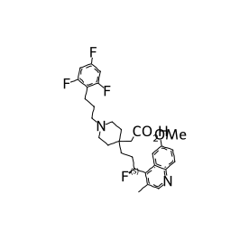 COc1ccc2ncc(C)c([C@@H](F)CCC3(CC(=O)O)CCN(CCCc4c(F)cc(F)cc4F)CC3)c2c1